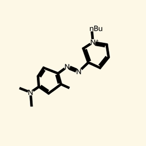 CCCC[n+]1cccc(N=Nc2ccc(N(C)C)cc2C)c1